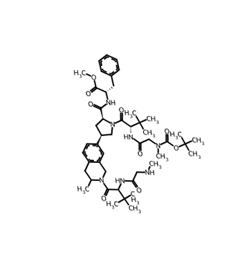 CNCC(=O)NC(C(=O)N1Cc2cc([C@H]3C[C@@H](C(=O)N[C@@H](Cc4ccccc4)C(=O)OC)N(C(=O)[C@@H](NC(=O)CN(C)C(=O)OC(C)(C)C)C(C)(C)C)C3)ccc2CC1C)C(C)(C)C